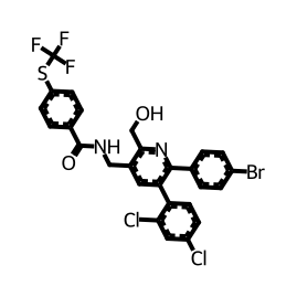 O=C(NCc1cc(-c2ccc(Cl)cc2Cl)c(-c2ccc(Br)cc2)nc1CO)c1ccc(SC(F)(F)F)cc1